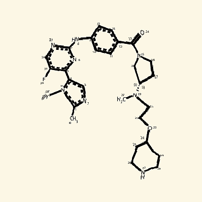 Cc1ncc(-c2nc(Nc3ccc(C(=O)N4CC[C@H](N(C)CCOC5CCNCC5)C4)cc3)ncc2F)n1C(C)C